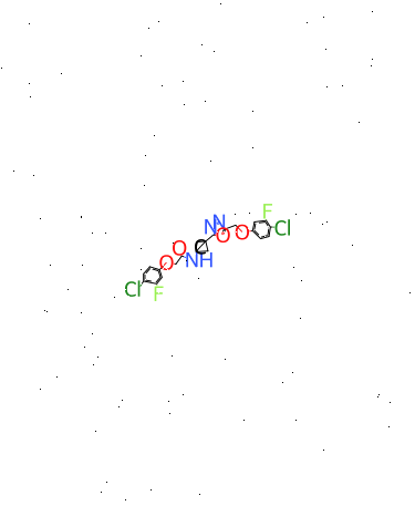 O=C(COc1ccc(Cl)c(F)c1)NC12CC(c3nnc(COc4ccc(Cl)c(F)c4)o3)(C1)C2